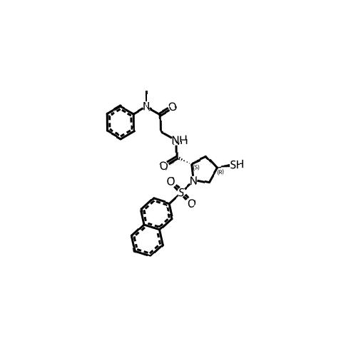 CN(C(=O)CNC(=O)[C@@H]1C[C@@H](S)CN1S(=O)(=O)c1ccc2ccccc2c1)c1ccccc1